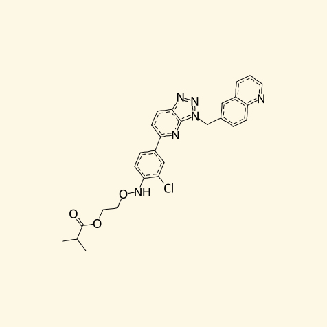 CC(C)C(=O)OCCONc1ccc(-c2ccc3nnn(Cc4ccc5ncccc5c4)c3n2)cc1Cl